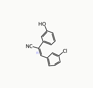 N#C/C(=C/c1cccc(Cl)c1)c1cccc(O)c1